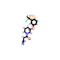 CC(F)(P)c1cccc(O[C@@H]2CCCN(C(=O)CC#N)C2)c1